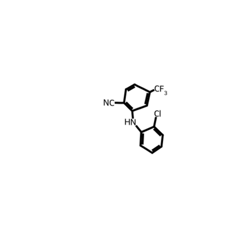 N#Cc1ccc(C(F)(F)F)cc1Nc1ccccc1Cl